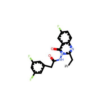 CC(C)Cc1nc2ccc(F)cc2c(=O)n1NC(=O)Cc1cc(F)cc(F)c1